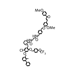 COc1ccc(C(=O)/C=C/c2ccc(OCc3ccc(CNC(=O)CCNC(=O)C4CCCCN4Cc4cc(Cl)c(OCc5cccc(-c6ccccc6)c5C)cc4OCc4ccc(OC(F)(F)F)cc4)cc3)c(OC)c2)cc1